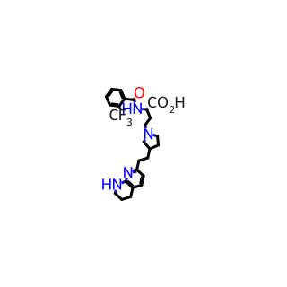 O=C(NC(CCN1CCC(CCc2ccc3c(n2)NCCC3)C1)C(=O)O)c1ccccc1C(F)(F)F